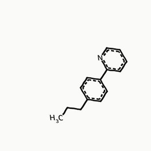 CCCc1ccc(-c2ccccn2)cc1